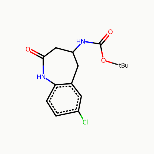 CC(C)(C)OC(=O)NC1CC(=O)Nc2ccc(Cl)cc2C1